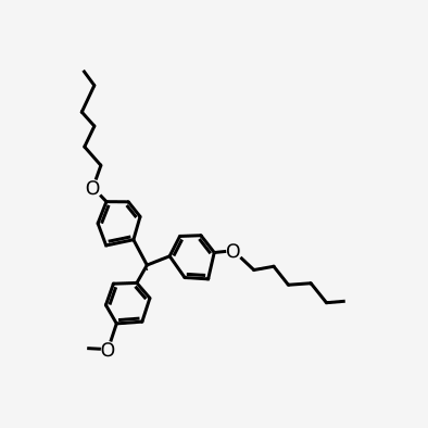 CCCCCCOc1ccc([C](c2ccc(OC)cc2)c2ccc(OCCCCCC)cc2)cc1